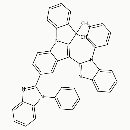 CC1(C)c2ccccc2-n2c1c(-c1nc3ccccc3n1-c1ccccc1)c1cc(-c3nc4ccccc4n3-c3ccccc3)ccc12